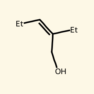 CCC=C(CC)CO